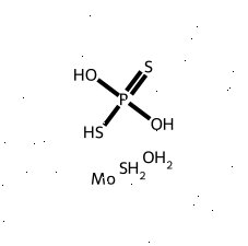 O.OP(O)(=S)S.S.[Mo]